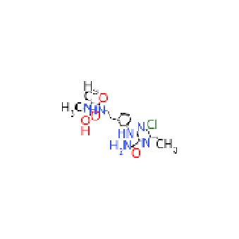 CCc1nc(C(N)=O)c(Nc2cccc(CCNC(=O)C(C)N(C)C(=O)O)c2)nc1Cl